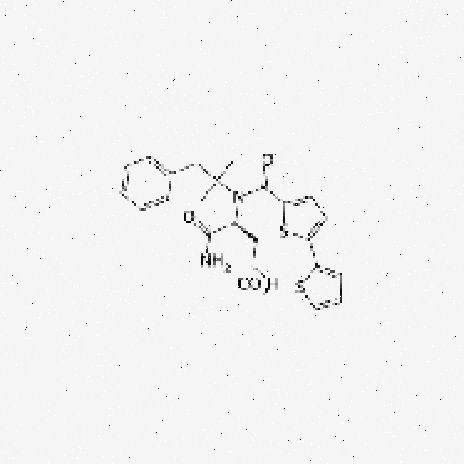 CC(C)(Cc1ccccc1)N(C(=O)c1ccc(-c2cccs2)s1)[C@@H](CCC(=O)O)C(N)=O